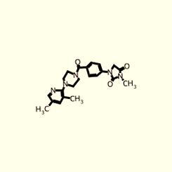 Cc1cnc(N2CCN(C(=O)c3ccc(N4CC(=O)N(C)C4=O)cc3)CC2)c(C)c1